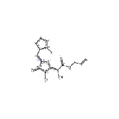 C=CCOC(=O)/C(C#N)=c1\s/c(=C\c2cccn2C)c(=O)n1CC